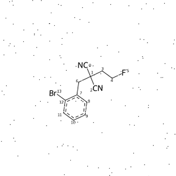 N#CC(C#N)(CCF)Cc1ccccc1Br